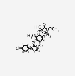 CCOC(=O)C(C)(C)Oc1c(C)cc(Cn2cnn(-c3ccc(Cl)cc3)c2=O)cc1C